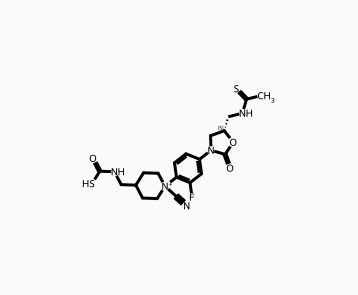 CC(=S)NC[C@H]1CN(c2ccc([N+]3(C#N)CCC(CNC(=O)S)CC3)c(F)c2)C(=O)O1